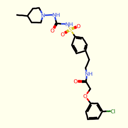 CC1CCN(NC(=O)NS(=O)(=O)c2ccc(CCNC(=O)COc3cccc(Cl)c3)cc2)CC1